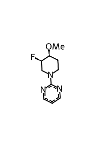 CO[C@H]1CCN(c2ncccn2)C[C@H]1F